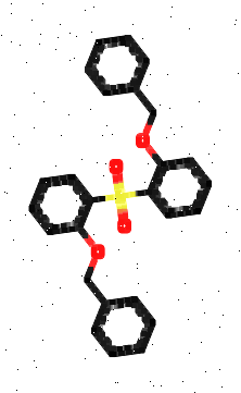 O=S(=O)(c1ccccc1OCc1ccccc1)c1ccccc1OCc1ccccc1